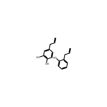 C=CCc1ccc(O)c(O)c1.C=CCc1ccccc1O